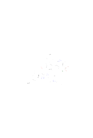 C#Cc1ccc2c(c1)[nH]c1c2c(=O)c2cc(CC(C)C)c(-c3cncc(S(=O)(=O)F)c3)cc2n1C1CN(C)C1